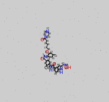 COc1cc(C(=O)N(C)c2ccc(C)cc2OCCCCCC(=O)N2CCN(C)CC2)ccc1NC(=O)c1cccc2[nH]c(/C=N\O)cc12